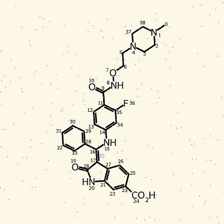 CN1CCN(CCONC(=O)c2ccc(N/C(=C3/C(=O)Nc4cc(C(=O)O)ccc43)c3ccccc3)cc2F)CC1